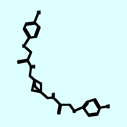 O=C(COc1ccc(Cl)cc1)NCC12CC(CNC(=O)COc3ccc(Cl)cc3)(C1)C2